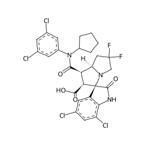 O=C(O)[C@H]1[C@@H](C(=O)N(c2cc(Cl)cc(Cl)c2)C2CCCC2)[C@H]2CC(F)(F)CN2[C@]12C(=O)Nc1c(Cl)cc(Cl)cc12